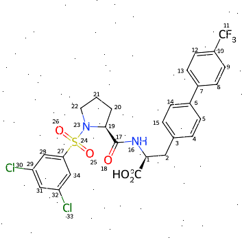 O=C(O)[C@H](Cc1ccc(-c2ccc(C(F)(F)F)cc2)cc1)NC(=O)[C@@H]1CCCN1S(=O)(=O)c1cc(Cl)cc(Cl)c1